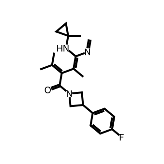 C=N/C(NC1(C)CC1)=C(\C)C(C(=O)N1CC(c2ccc(F)cc2)C1)=C(C)C